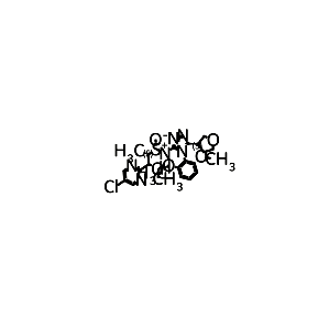 COc1cccc(OC)c1-n1c(N[S+]([O-])[C@@H](C)C(OC)c2ncc(Cl)cn2)nnc1[C@@H]1CCOC1